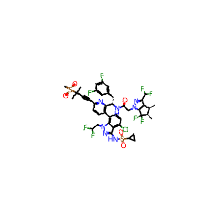 C[C@@H]1c2c(C(F)F)nn(CC(=O)N[C@@H](Cc3cc(F)cc(F)c3)c3nc(C#CC(C)(C)S(C)(=O)=O)ccc3-c3ccc(Cl)c4c(NS(=O)(=O)C5CC5)nn(CC(F)F)c34)c2C(F)(F)[C@@H]1C